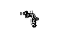 O=C(NCC1CCCO1)c1nc(-c2cnc3[nH]ccc3c2Cl)no1